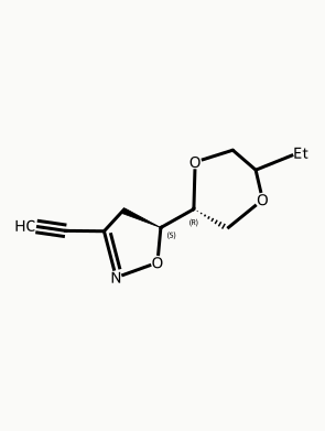 C#CC1=NO[C@H]([C@H]2COC(CC)CO2)C1